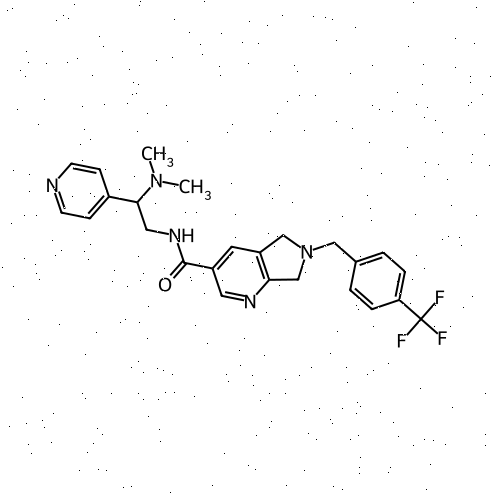 CN(C)C(CNC(=O)c1cnc2c(c1)CN(Cc1ccc(C(F)(F)F)cc1)C2)c1ccncc1